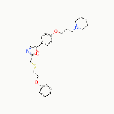 c1ccc(OCCSCc2ncc(-c3ccc(OCCCN4CCCCC4)cc3)o2)cc1